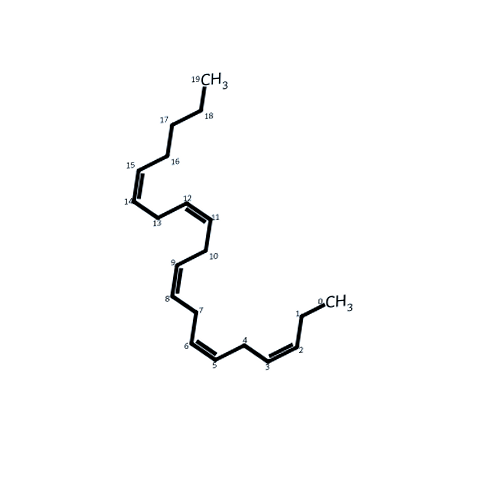 CC/C=C\C/C=C\C/C=C\C/C=C\C/C=C\CCCC